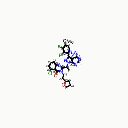 COc1ccc(-c2nn(C(C)c3nc4cccc(Cl)c4c(=O)n3CCC3CCCO3)c3ncnc(N)c23)c(F)c1F